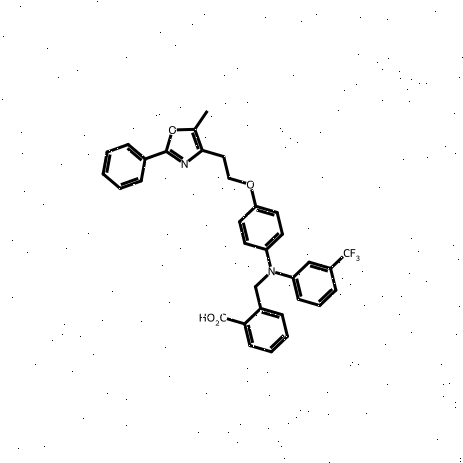 Cc1oc(-c2ccccc2)nc1CCOc1ccc(N(Cc2ccccc2C(=O)O)c2cccc(C(F)(F)F)c2)cc1